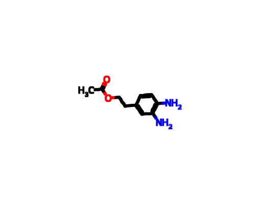 CC(=O)OCCc1ccc(N)c(N)c1